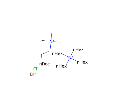 CCCCCCCCCCCC[N+](C)(C)C.CCCCCC[N+](CCCCCC)(CCCCCC)CCCCCC.[Br-].[Cl-]